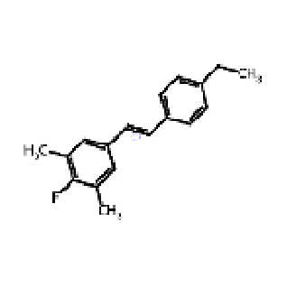 CCc1ccc(/C=C/c2cc(C)c(F)c(C)c2)cc1